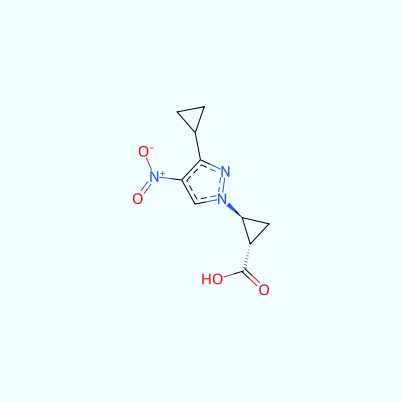 O=C(O)[C@H]1C[C@@H]1n1cc([N+](=O)[O-])c(C2CC2)n1